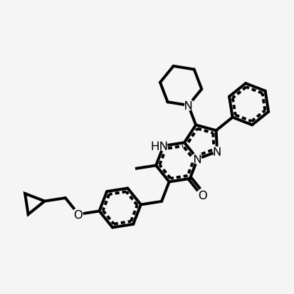 Cc1[nH]c2c(N3CCCCC3)c(-c3ccccc3)nn2c(=O)c1Cc1ccc(OCC2CC2)cc1